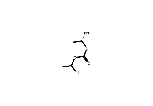 CCC[C@@H](C)OC(=O)OC(C)Cl